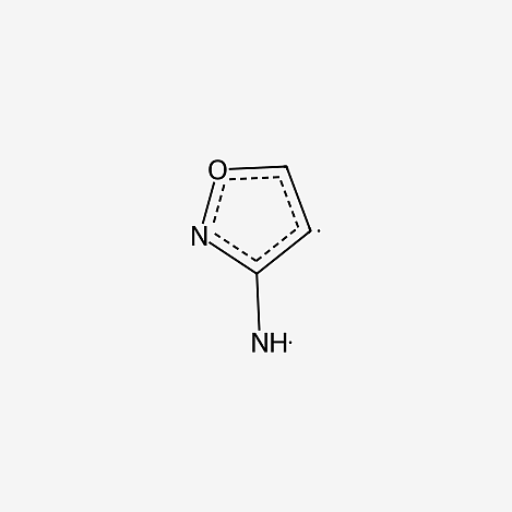 [NH]c1[c]con1